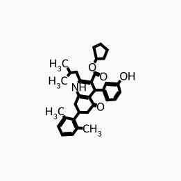 Cc1cccc(C)c1C1CC(=O)C2=C(C1)NC(CC(C)C)=C(C(=O)OC1CCCC1)C2c1cccc(O)c1